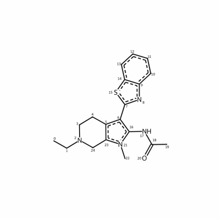 CCN1CCc2c(-c3nc4ccccc4s3)c(NC(C)=O)n(C)c2C1